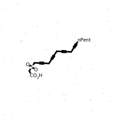 CCCCCC#CCC#CCC#CCC#CCS(=O)(=O)CC(=O)O